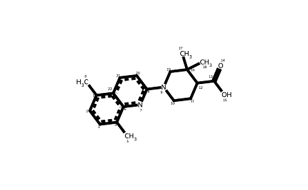 Cc1ccc(C)c2nc(N3CCC(C(=O)O)C(C)(C)C3)ccc12